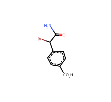 NC(=O)C(Br)c1ccc(C(=O)O)cc1